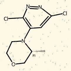 C[C@@H]1COCCN1c1cc(Cl)nnc1Cl